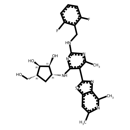 Cc1cc2sc(-c3c(C)nc(NCc4c(F)cccc4F)nc3N[C@@H]3C[C@H](CO)[C@@H](O)[C@H]3O)nc2c(C)n1